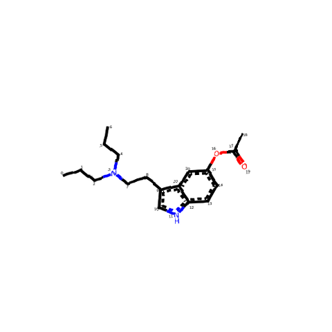 CCCN(CCC)CCc1c[nH]c2ccc(OC(C)=O)cc12